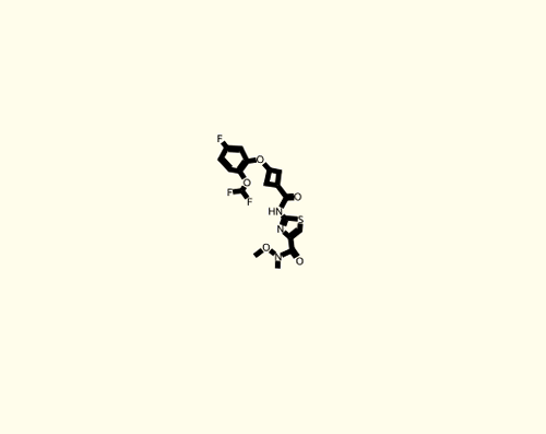 CON(C)C(=O)c1csc(NC(=O)C2CC(Oc3cc(F)ccc3OC(F)F)C2)n1